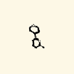 C[C@H]1CC=CC(C2CCOCC2)=N1